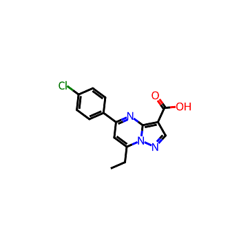 CCc1cc(-c2ccc(Cl)cc2)nc2c(C(=O)O)cnn12